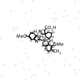 COc1ccc2[nH]c([S+]([O-])Cc3ncc(C)c(OC)c3C)nc2c1.NCC1(CC(=O)O)CCCCC1